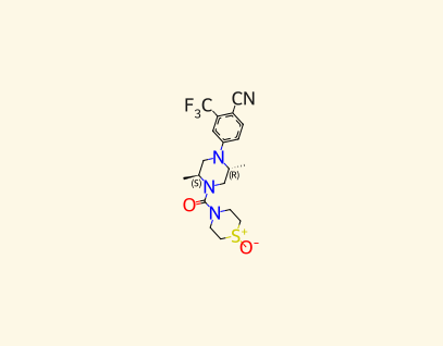 C[C@@H]1CN(C(=O)N2CC[S+]([O-])CC2)[C@@H](C)CN1c1ccc(C#N)c(C(F)(F)F)c1